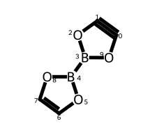 C1#COB(B2OC=CO2)O1